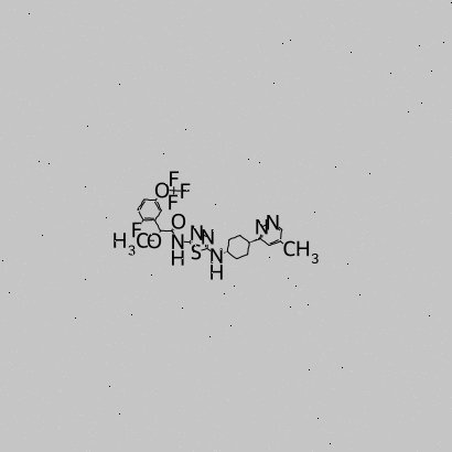 CO[C@@H](C(=O)Nc1nnc(N[C@H]2CC[C@H](c3cc(C)cnn3)CC2)s1)c1cc(OC(F)(F)F)ccc1F